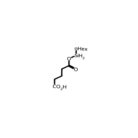 CCCCCC[SiH2]OC(=O)CCCC(=O)O